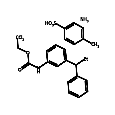 CCC(c1ccccc1)c1cccc(NC(=O)OCC(Cl)(Cl)Cl)c1.Cc1ccc(S(=O)(=O)O)cc1.N